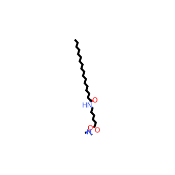 CCCCCCCCCCCCCCCCCC(=O)NCCCCCC(=O)ON(C)C